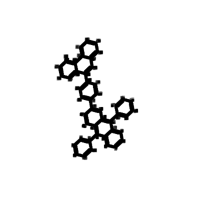 c1ccc(-c2c3ccccc3c(-c3ccccc3)c3cc(-c4ccc(-c5cc6ccccc6c6ncccc56)cc4)ccc23)cc1